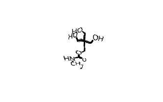 CNC(=O)OCC(CO)(CO)CO